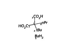 CCCC(C(=O)O)(C(=O)O)C(C)(C)C.[BaH2]